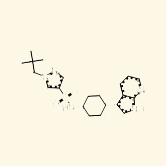 CC(C)(C)Cn1cc(S(=O)(=O)N[C@H]2CC[C@@H](c3c[nH]c4ncccc43)CC2)cn1